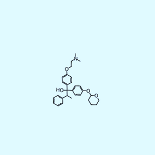 CC(c1ccccc1)C(O)(c1ccc(OCCN(C)C)cc1)c1ccc(OC2CCCCO2)cc1